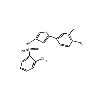 Cc1ccccc1S(=O)(=O)Nc1csc(-c2ccc(Cl)c(Cl)c2)c1